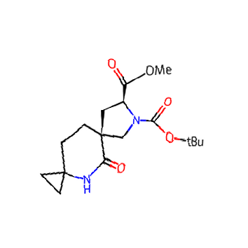 COC(=O)[C@@H]1C[C@@]2(CCC3(CC3)NC2=O)CN1C(=O)OC(C)(C)C